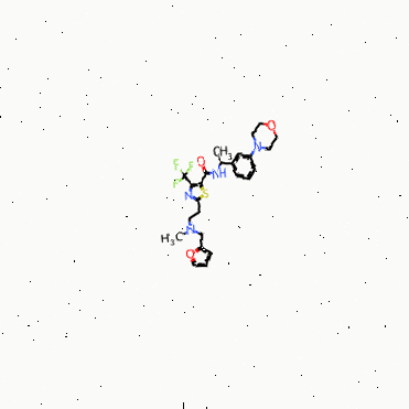 C[C@H](NC(=O)c1sc(CCN(C)Cc2ccco2)nc1C(F)(F)F)c1cccc(N2CCOCC2)c1